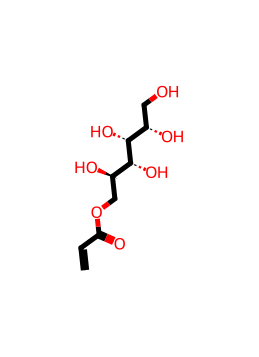 C=CC(=O)OC[C@@H](O)[C@@H](O)[C@H](O)[C@@H](O)CO